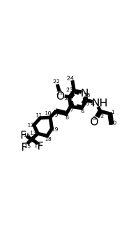 C=CC(=O)Nc1cc(C=CC2CCC(C(F)(F)F)CC2)c(OC)c(C)n1